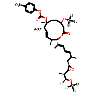 CC[C@H](O[Si](CC)(CC)CC)[C@@H](C)[C@H]1O[C@@H]1C[C@H](C)/C=C/C=C(\C)[C@H]1OC(=O)C[C@H](O[Si](CC)(CC)CC)CC[C@@](C)(OC(=O)Oc2ccc([N+](=O)[O-])cc2)[C@@H](OC(C)=O)/C=C/[C@@H]1C